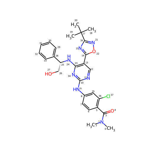 CN(C)C(=O)c1ccc(Nc2ncc(-c3nc(C(C)(C)C)no3)c(N[C@H](CO)c3ccccc3)n2)cc1Cl